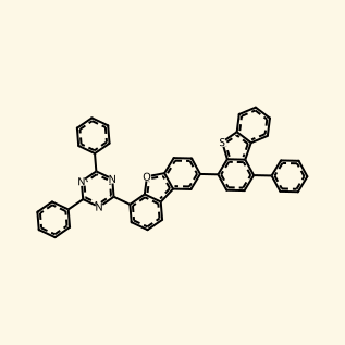 c1ccc(-c2nc(-c3ccccc3)nc(-c3cccc4c3oc3ccc(-c5ccc(-c6ccccc6)c6c5sc5ccccc56)cc34)n2)cc1